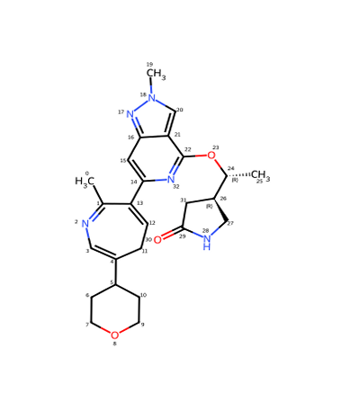 CC1=NC=C(C2CCOCC2)CC=C1c1cc2nn(C)cc2c(O[C@H](C)[C@H]2CNC(=O)C2)n1